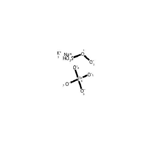 O=S(=O)(O)O[O-].[K+].[Na+].[O-][I+3]([O-])([O-])[O-]